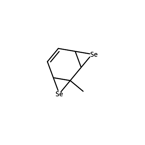 CC12[Se]C1C=CC1[Se]C12